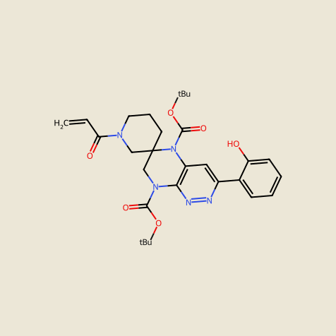 C=CC(=O)N1CCCC2(C1)CN(C(=O)OC(C)(C)C)c1nnc(-c3ccccc3O)cc1N2C(=O)OC(C)(C)C